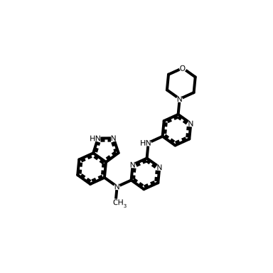 CN(c1ccnc(Nc2ccnc(N3CCOCC3)c2)n1)c1cccc2[nH]ncc12